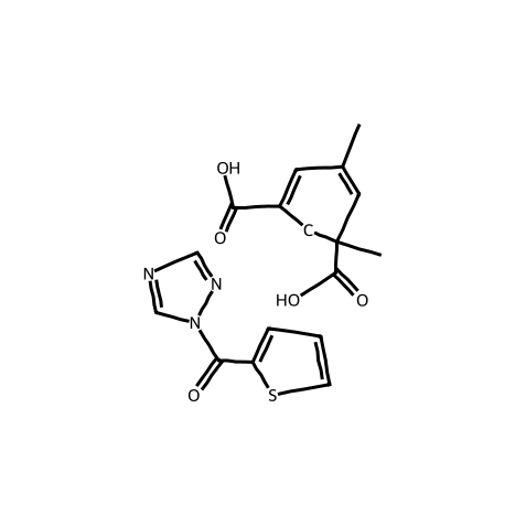 CC1=CC(C)(C(=O)O)CC(C(=O)O)=C1.O=C(c1cccs1)n1cncn1